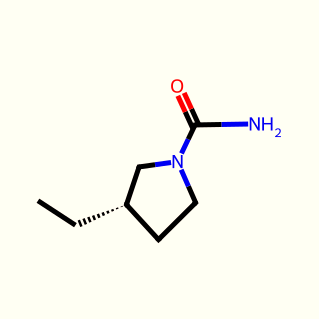 CC[C@H]1CCN(C(N)=O)C1